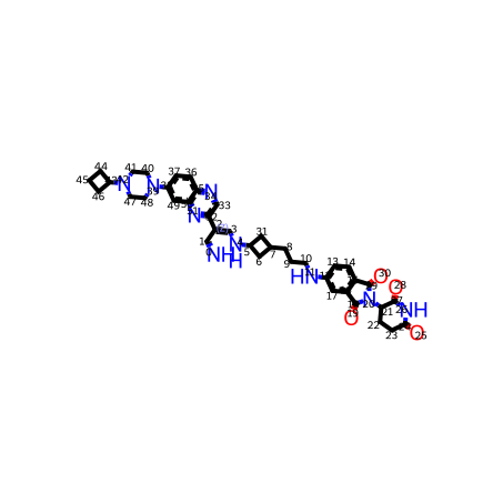 N=C/C(=C\NC1CC(CCCNc2ccc3c(c2)C(=O)N(C2CCC(=O)NC2=O)C3=O)C1)c1cnc2ccc(N3CCN(C4CCC4)CC3)cc2n1